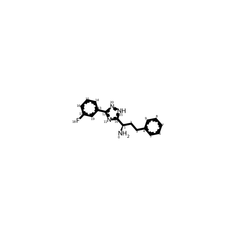 N[C@H](CCc1ccccc1)c1nc(-c2cccc(F)c2)n[nH]1